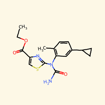 CCOC(=O)c1csc(N(C(N)=O)c2cc(C3CC3)ccc2C)n1